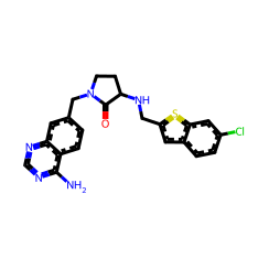 Nc1ncnc2cc(CN3CCC(NCc4cc5ccc(Cl)cc5s4)C3=O)ccc12